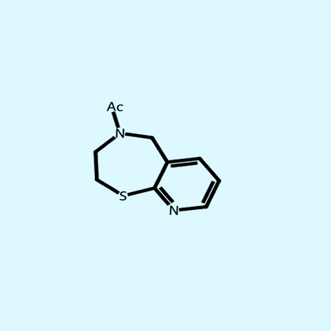 CC(=O)N1CCSc2ncccc2C1